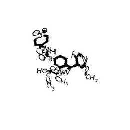 CCOc1cc(-c2nn([C@@H](C)C(C)(C)O)c3c2CC[C@@H](C(=O)NC2(C)CCS(=O)(=O)CC2)C3)c(F)cn1